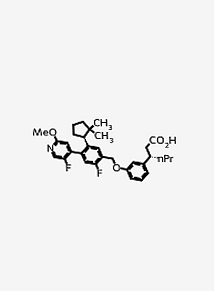 CCC[C@@H](CC(=O)O)c1cccc(OCc2cc([C@H]3CCCC3(C)C)c(-c3cc(OC)ncc3F)cc2F)c1